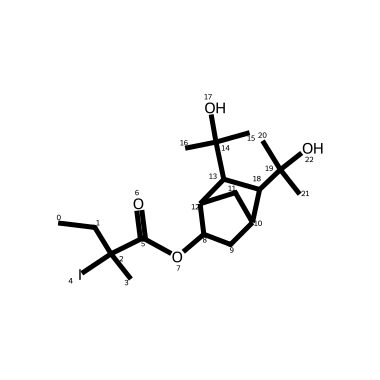 CCC(C)(I)C(=O)OC1CC2CC1C(C(C)(C)O)C2C(C)(C)O